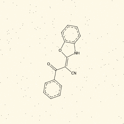 N#C/C(C(=O)c1ccccc1)=C1\Nc2ccccc2O1